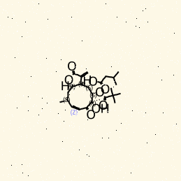 C=C1C(=O)O[C@@H]2C[C@H](C)/C=C\C(=O)[C@](C)(O)[C@@H](OC(=O)C(C)(C)C)[C@@H](OC(=O)CC(C)C)[C@@H]12